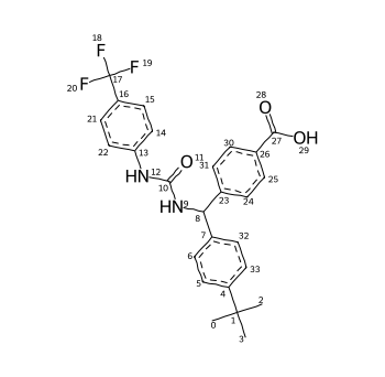 CC(C)(C)c1ccc(C(NC(=O)Nc2ccc(C(F)(F)F)cc2)c2ccc(C(=O)O)cc2)cc1